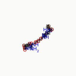 N[C@H]1C[C@@H](C(=O)NCCOCCOCCOCCNc2ncc(CN3CCCC(c4nc(=O)cc(-c5cccs5)[nH]4)C3)cn2)N(C(=O)c2ccc3c(=O)oc(=O)[nH]c3c2)C1